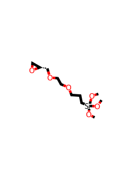 CO[Si](CCCOCCOC[C@H]1CO1)(OC)OC